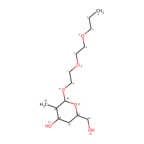 CCCOCCOCCOC1OC(CO)CC(O)C1C